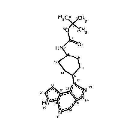 CC(C)(C)OC(=O)NC1CCC(n2nnc3cnc4[nH]ccc4c32)CC1